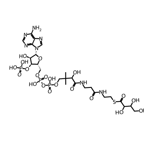 CC(C)(COP(=O)(O)OP(=O)(O)OC[C@H]1O[C@@H](n2cnc3c(N)ncnc32)[C@H](O)[C@@H]1OP(=O)(O)O)C(O)C(=O)NCCC(=O)NCCSC(=O)C(O)C(O)CO